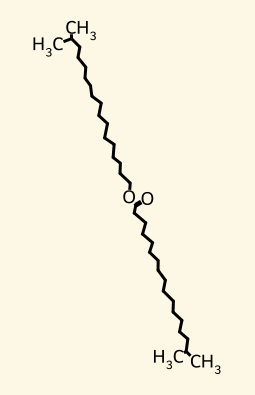 CC(C)CCCCCCCCCCCCCCCOC(=O)CCCCCCCCCCCCCCC(C)C